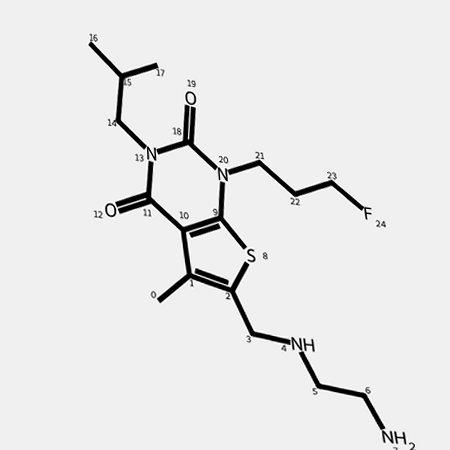 Cc1c(CNCCN)sc2c1c(=O)n(CC(C)C)c(=O)n2CCCF